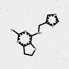 Clc1nc2c(c(NCc3cncs3)n1)SCC2